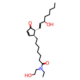 CCCCC[C@@H](O)/C=C/[C@H]1C(=O)C=C[C@@H]1CCCCCCC(=O)N(CC)CCO